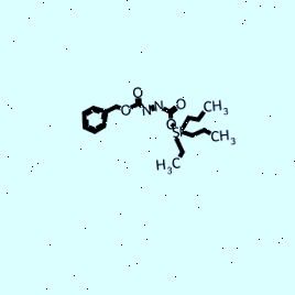 CCC[Si](CCC)(CCC)OC(=O)N=NC(=O)OCc1ccccc1